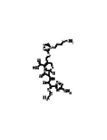 COCCCn1cnnc1SCC1=C(C(=O)O)N2C(=O)C(NC(=O)/C(=N/OC)c3nsc(N)n3)[C@H]2SC1